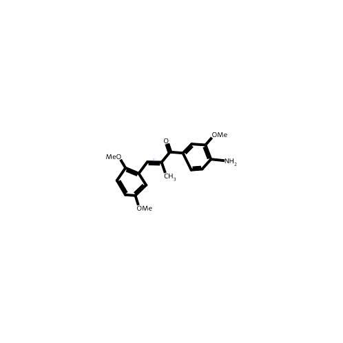 COc1ccc(OC)c(/C=C(\C)C(=O)c2ccc(N)c(OC)c2)c1